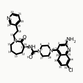 Nc1cc(N2CCN(C(=O)N[C@H]3CCCCN(CCc4cccnc4)C3=O)CC2)c2ccc(Cl)cc2n1